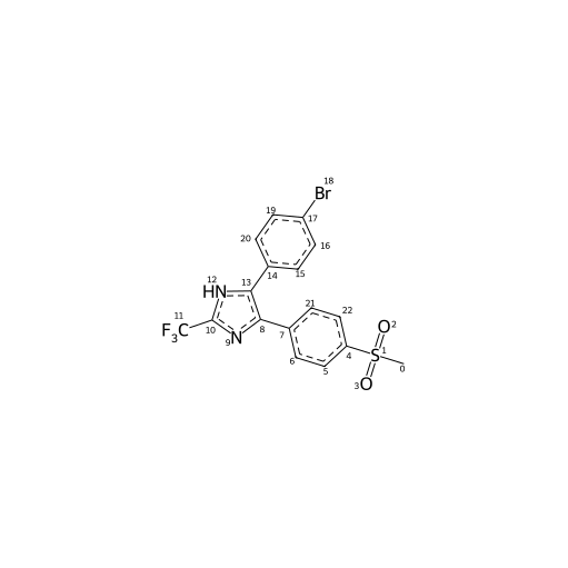 CS(=O)(=O)c1ccc(-c2nc(C(F)(F)F)[nH]c2-c2ccc(Br)cc2)cc1